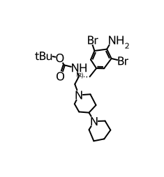 CC(C)(C)OC(=O)N[C@H](Cc1cc(Br)c(N)c(Br)c1)CN1CCC(N2CCCCC2)CC1